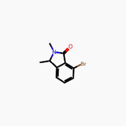 CC1c2cccc(Br)c2C(=O)N1C